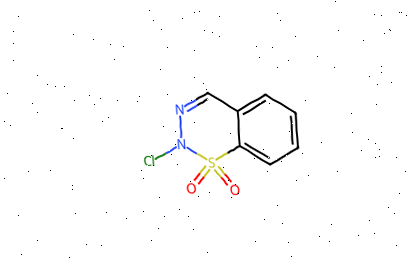 O=S1(=O)c2ccccc2C=NN1Cl